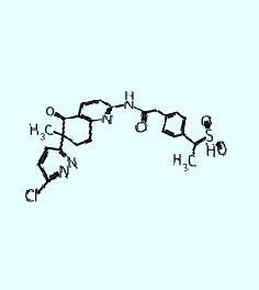 CC(c1ccc(CC(=O)Nc2ccc3c(n2)CCC(C)(c2ccc(Cl)nn2)C3=O)cc1)[SH](=O)=O